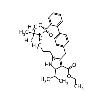 CCCN1NC(C(C)C)C(C(=O)OCC)=C1Cc1ccc(-c2ccccc2S(=O)(=O)NC(C)(C)C)cc1